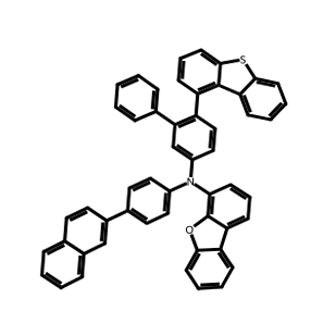 c1ccc(-c2cc(N(c3ccc(-c4ccc5ccccc5c4)cc3)c3cccc4c3oc3ccccc34)ccc2-c2cccc3sc4ccccc4c23)cc1